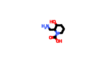 NCC1C(O)CCCN1C(=O)O